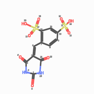 O=C1NC(=O)C(=Cc2ccc(S(=O)(=O)O)cc2S(=O)(=O)O)C(=O)N1